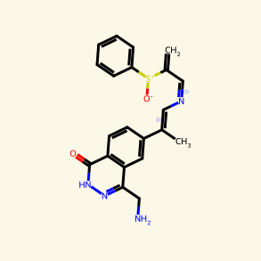 C=C(/C=N\C=C(/C)c1ccc2c(=O)[nH]nc(CN)c2c1)[S+]([O-])c1ccccc1